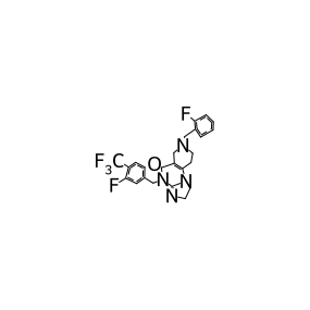 O=C1C2=C(CCN(Cc3ccccc3F)C2)N2CCN=C2N1Cc1ccc(C(F)(F)F)c(F)c1